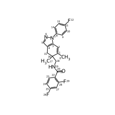 CC1=Cc2c(cnn2-c2ccc(F)cc2)CC1(C)CNC(=O)c1ccc(F)cc1F